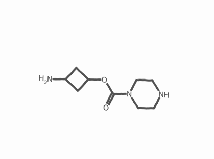 NC1CC(OC(=O)N2CCNCC2)C1